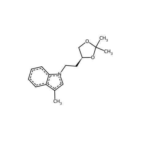 Cc1cn(CC[C@H]2COC(C)(C)O2)c2ccccc12